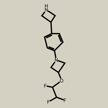 FC(F)C(F)OC1CN(c2ccc(C3CNC3)cc2)C1